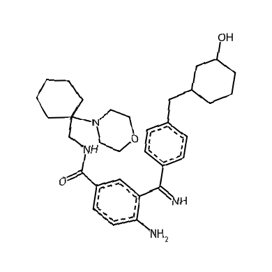 N=C(c1ccc(CC2CCCC(O)C2)cc1)c1cc(C(=O)NCC2(N3CCOCC3)CCCCC2)ccc1N